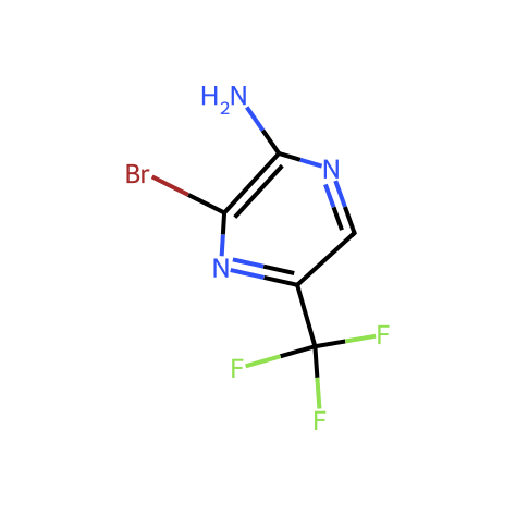 Nc1ncc(C(F)(F)F)nc1Br